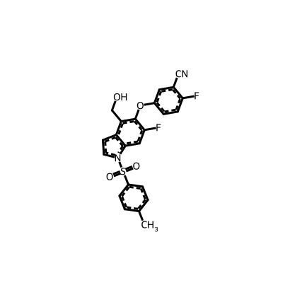 Cc1ccc(S(=O)(=O)n2ccc3c(CO)c(Oc4ccc(F)c(C#N)c4)c(F)cc32)cc1